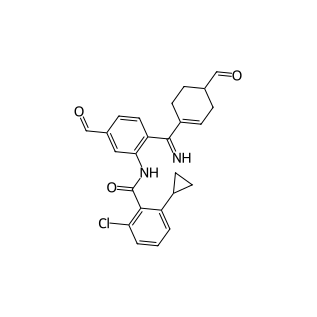 N=C(C1=CCC(C=O)CC1)c1ccc(C=O)cc1NC(=O)c1c(Cl)cccc1C1CC1